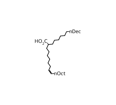 CCCCCCCC/C=C\CCCCCCC(CCCCCCCCCCCCCCCC)C(=O)O